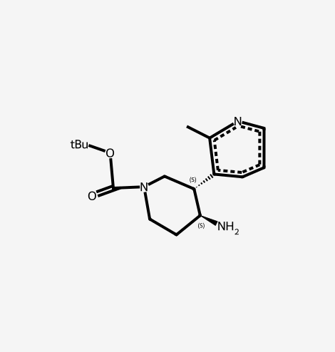 Cc1ncccc1[C@H]1CN(C(=O)OC(C)(C)C)CC[C@@H]1N